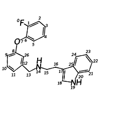 Fc1ccccc1Oc1cccc(CNCCc2c[nH]c3ccccc23)c1